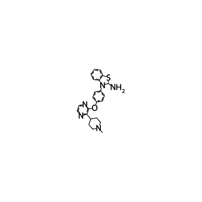 CN1CCC(c2nccnc2Oc2ccc(N3c4ccccc4SC3N)cc2)CC1